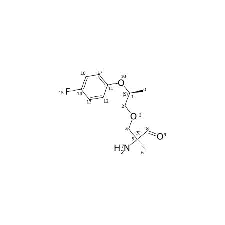 C[C@@H](COC[C@](C)(N)C=O)Oc1ccc(F)cc1